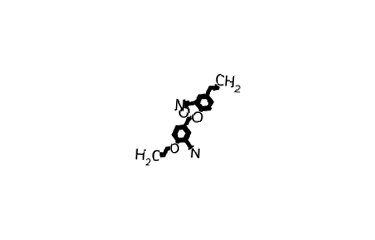 C=CCOc1ccc(C(=O)Oc2ccc(CC=C)cc2C#N)cc1C#N